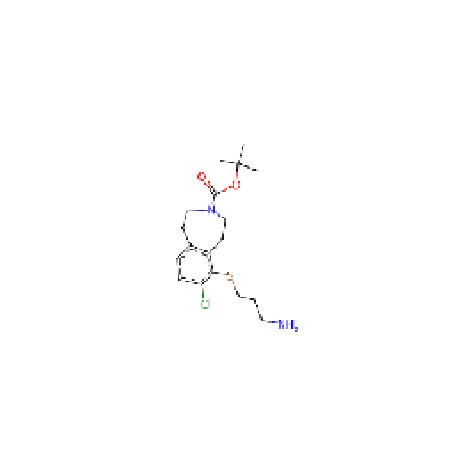 CC(C)(C)OC(=O)N1CCc2ccc(Cl)c(SCCCN)c2CC1